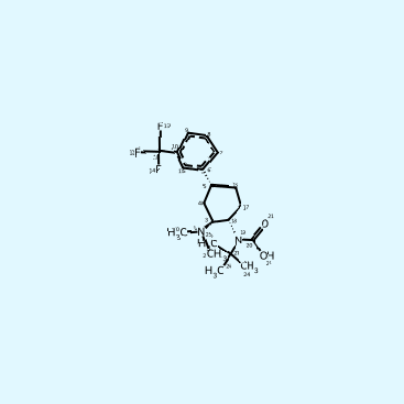 CN(C)[C@H]1C[C@H](c2cccc(C(F)(F)F)c2)CC[C@@H]1N(C(=O)O)C(C)(C)C